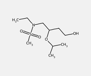 CCN(CC(CCO)OC(C)C)S(C)(=O)=O